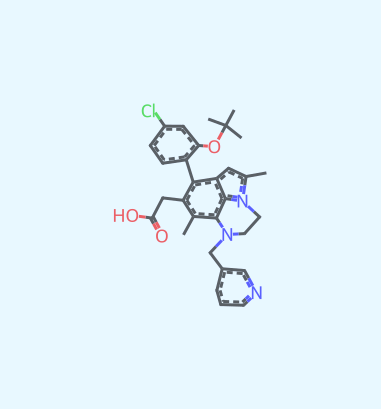 Cc1c(CC(=O)O)c(-c2ccc(Cl)cc2OC(C)(C)C)c2cc(C)n3c2c1N(Cc1cccnc1)CC3